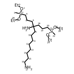 CCO[Si](C)(CCCC(N)(CCCCCCCCN)CCC[Si](C)(OCC)OCC)OCC